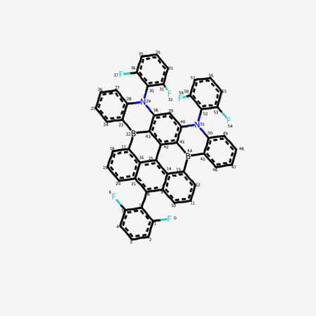 Fc1cccc(F)c1-c1c2cccc3c2c2c4c(cccc14)B1c4ccccc4N(c4c(F)cccc4F)c4cc5c(c-2c41)B3c1ccccc1N5c1c(F)cccc1F